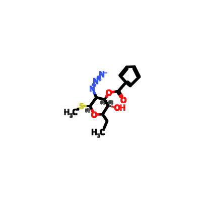 CCC1O[C@@H](SC)C(N=[N+]=[N-])[C@@H](OC(=O)c2ccccc2)[C@@H]1O